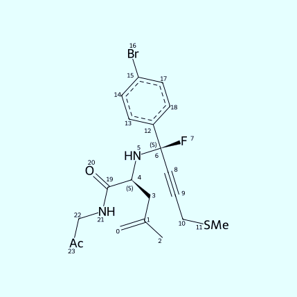 C=C(C)C[C@H](N[C@@](F)(C#CCSC)c1ccc(Br)cc1)C(=O)NCC(C)=O